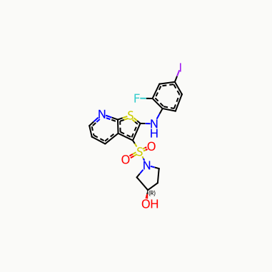 O=S(=O)(c1c(Nc2ccc(I)cc2F)sc2ncccc12)N1CC[C@@H](O)C1